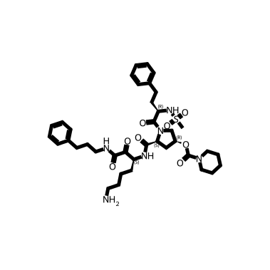 CS(=O)(=O)N[C@H](CCc1ccccc1)C(=O)N1C[C@H](OC(=O)N2CCCCC2)C[C@H]1C(=O)N[C@@H](CCCCN)C(=O)C(=O)NCCCc1ccccc1